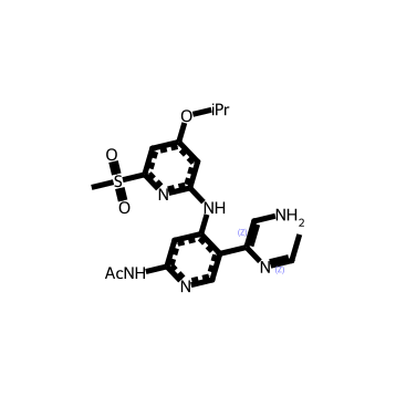 C/C=N\C(=C/N)c1cnc(NC(C)=O)cc1Nc1cc(OC(C)C)cc(S(C)(=O)=O)n1